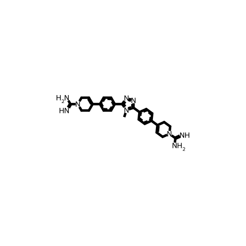 Cn1c(-c2ccc(C3=CCN(C(=N)N)CC3)cc2)nnc1-c1ccc(C2=CCN(C(=N)N)CC2)cc1